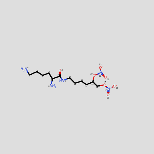 NCCCCC(N)C(=O)NCCCCC(CO[N+](=O)[O-])O[N+](=O)[O-]